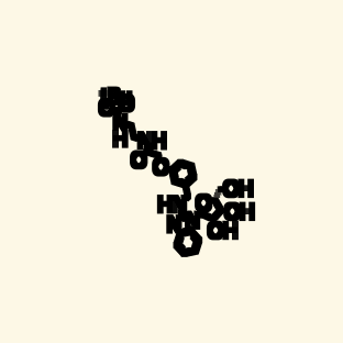 CC(C)(C)OC(=O)NCCNC(=O)COc1cccc(CNc2nc3ccccc3n2[C@@H]2O[C@H](CO)[C@@H](O)[C@H]2O)c1